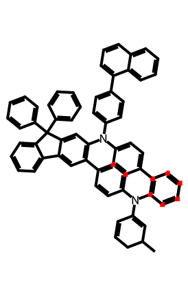 CC1C=C(N(c2ccccc2)c2ccc(-c3cc4c(cc3N(c3ccc(-c5ccccc5)cc3)c3ccc(-c5cccc6ccccc56)cc3)C(c3ccccc3)(c3ccccc3)c3ccccc3-4)cc2)C=CC1